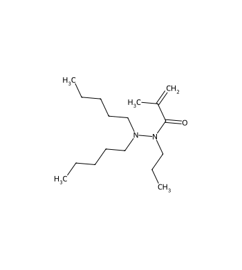 C=C(C)C(=O)N(CCC)N(CCCCC)CCCCC